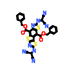 N#CC(C#N)=Nc1nc2c(C(=O)OCc3ccccc3)c3sc4nc(N=C(C#N)C#N)sc4c3c(C(=O)OCc3ccccc3)c2s1